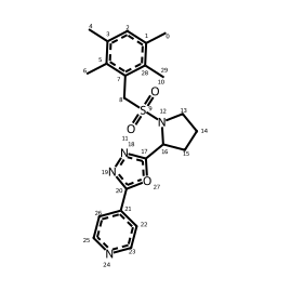 Cc1cc(C)c(C)c(CS(=O)(=O)N2CCCC2c2nnc(-c3ccncc3)o2)c1C